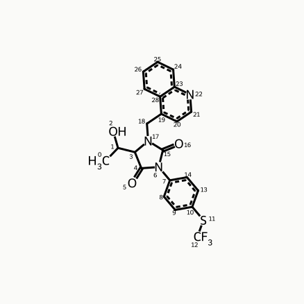 CC(O)C1C(=O)N(c2ccc(SC(F)(F)F)cc2)C(=O)N1Cc1ccnc2ccccc12